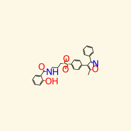 Cc1onc(-c2ccccc2)c1-c1ccc(S(=O)(=O)CCCNC(=O)c2ccccc2O)cc1